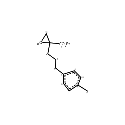 CCOC(=O)C1(CCCc2ccc(C)cc2)CO1